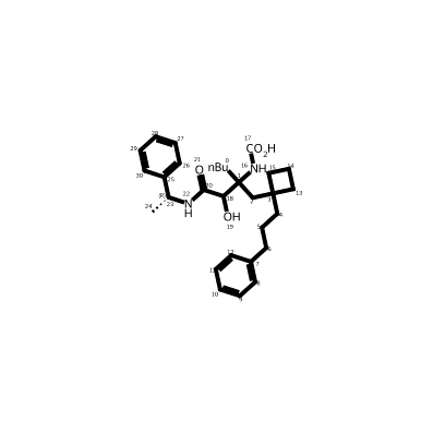 CCCCC(CC1(CCCc2ccccc2)CCC1)(NC(=O)O)C(O)C(=O)N[C@H](C)c1ccccc1